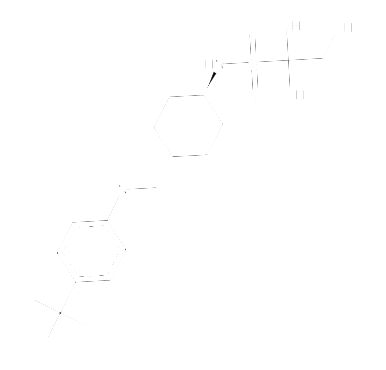 CCC(C)(C)S(=O)(=O)N[C@H]1CC[C@H](CNc2ccc(C(F)(F)F)cc2)CC1